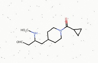 O=CCC(CC1CCN(C(=O)C2CC2)CC1)NC(=O)O